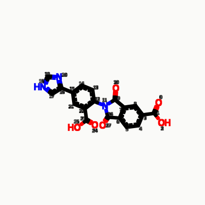 O=C(O)c1ccc2c(c1)C(=O)N(c1ccc(-c3c[nH]cn3)cc1C(=O)O)C2=O